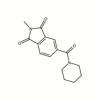 CN1C(=O)c2ccc(C(=O)N3CCCCC3)cc2C1=O